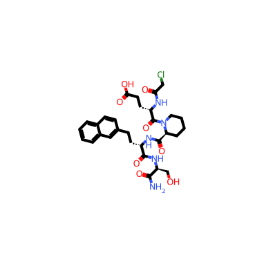 NC(=O)[C@H](CO)NC(=O)[C@H](CCc1ccc2ccccc2c1)NC(=O)[C@@H]1CCCCN1C(=O)[C@H](CCC(=O)O)NC(=O)CCl